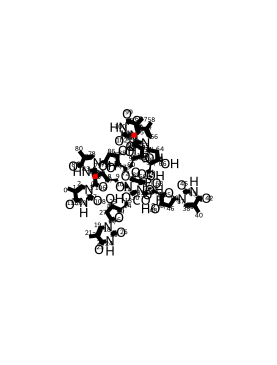 Cc1cn([C@H]2C[C@H](O)[C@@H](CON3C(OC[C@H]4O[C@@H](n5cc(C)c(=O)[nH]c5=O)C[C@@H]4O)(C(=O)O)N(OC[C@H]4O[C@@H](n5cc(C)c(=O)[nH]c5=O)C[C@@H]4O)C(OC[C@H]4O[C@@H](n5cc(C)c(=O)[nH]c5=O)C[C@@H]4O)(P(=O)(O)O)C3(OC[C@H]3O[C@@H](n4cc(C)c(=O)[nH]c4=O)C[C@@H]3O)OC[C@H]3O[C@@H](n4cc(C)c(=O)[nH]c4=O)C[C@@H]3O)O2)c(=O)[nH]c1=O